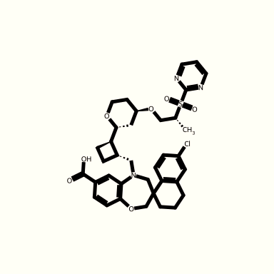 C[C@H](CO[C@@H]1CCO[C@@H]([C@@H]2CC[C@H]2CN2CC3(CCCc4cc(Cl)ccc43)COc3ccc(C(=O)O)cc32)C1)S(=O)(=O)c1ncccn1